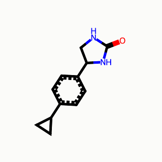 O=C1NCC(c2ccc(C3CC3)cc2)N1